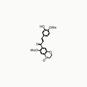 COc1ccc(C=CC(=O)c2cc3c(cc2OC)[S+]([O-])CCO3)cc1O